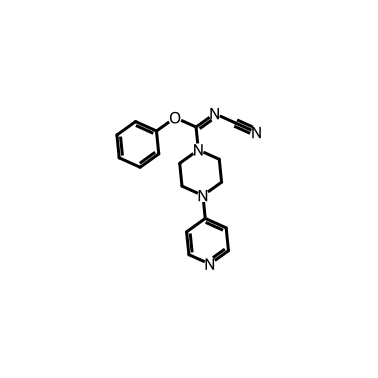 N#C/N=C(/Oc1ccccc1)N1CCN(c2ccncc2)CC1